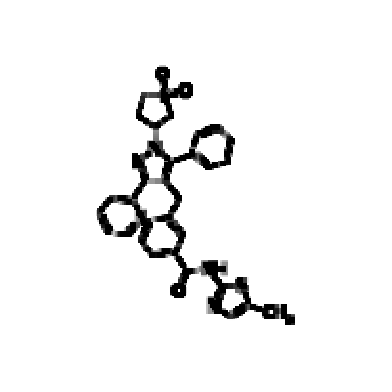 Cc1cnc(NC(=O)c2cccc(Cc3c(-c4ccccn4)nn(C4CCS(=O)(=O)C4)c3-c3ccccc3)c2)s1